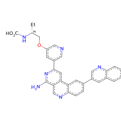 CC[C@H](COc1cncc(-c2cc3c(cnc4ccc(-c5cnc6ccccc6c5)cc43)c(N)n2)c1)NC(=O)O